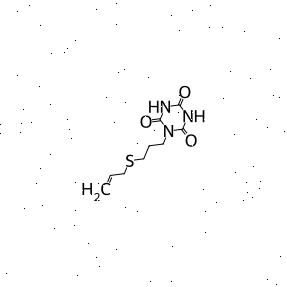 C=CCSCCCn1c(=O)[nH]c(=O)[nH]c1=O